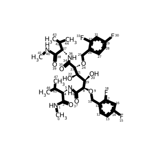 CNC(=O)[C@@H](NC(=O)[C@H](OCc1ccc(F)cc1F)[C@H](O)[C@@H](O)[C@@H](OCc1ccc(F)cc1F)C(=O)N[C@H](C(=O)NC)C(C)C)C(C)C